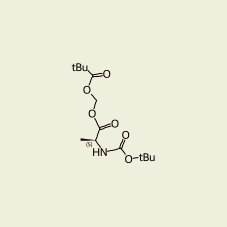 C[C@H](NC(=O)OC(C)(C)C)C(=O)OCOC(=O)C(C)(C)C